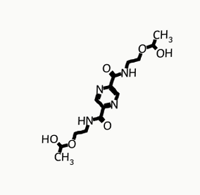 CC(O)OCCNC(=O)c1cnc(C(=O)NCCOC(C)O)cn1